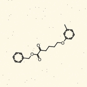 Cc1cccc(OCCCCC(=O)C(=O)OCc2ccccc2)c1